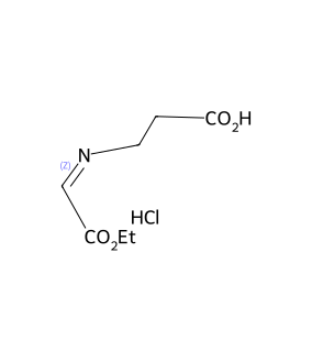 CCOC(=O)/C=N\CCC(=O)O.Cl